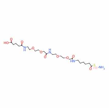 NBSC(=O)CCCCCNC(=O)COCCOCCNC(=O)COCCOCCNC(=O)CCCC(=O)O